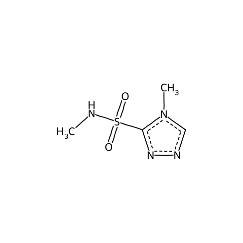 CNS(=O)(=O)c1nncn1C